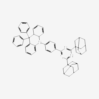 C1=CC2C(C=C1)C(c1ccccc1)(c1ccccc1)c1ccccc1N2c1ccc(-c2nc(C34CC5CC(CC(C5)C3)C4)nc(C34CC5CC(CC(C5)C3)C4)n2)cc1